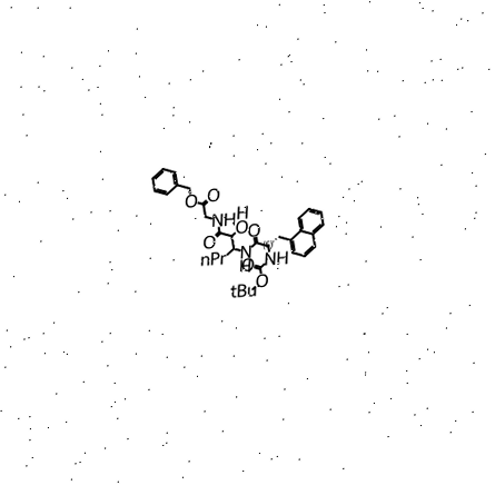 CCCC(NC(=O)[C@H](Cc1cccc2ccccc12)NC(=O)OC(C)(C)C)C(O)C(=O)NCC(=O)OCc1ccccc1